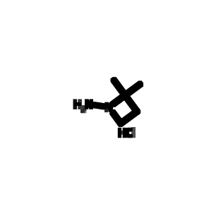 CC1(C)CCN1N.Cl